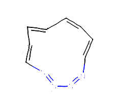 C1=C\C=C\N=N/N=N/C=C/C=C/1